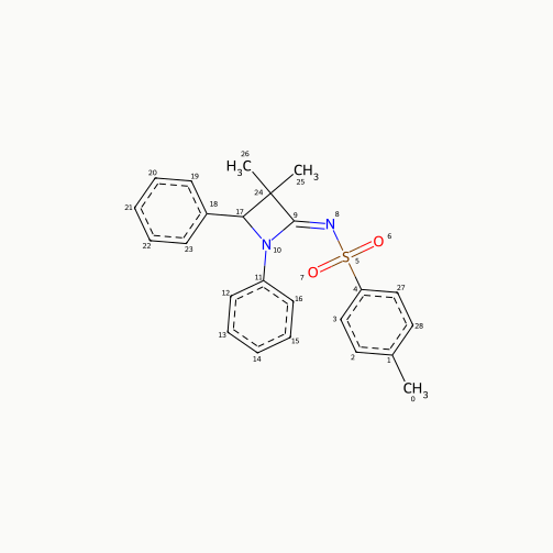 Cc1ccc(S(=O)(=O)/N=C2\N(c3ccccc3)C(c3ccccc3)C2(C)C)cc1